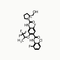 CC(Oc1cc(NC(=O)N2CCC[C@H]2CO)c(F)cc1C(=O)Nc1c(F)cccc1Cl)C(F)(F)F